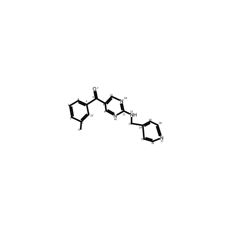 Cc1cccc(C(=O)c2cnc(NCc3ccncc3)nc2)c1